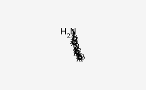 NCCC1CCc2cc(OCc3ccc(-c4ccccc4)cc3)ccc2C1